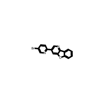 Brc1ccc(-c2cnc3c(c2)oc2ccccc23)nc1